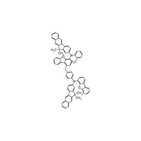 Cc1ccccc1N(c1ccc2c(c1)C(C)(C)c1cc3ccccc3cc1-2)c1ccc(Cc2ccc(N(c3ccc4c(c3)C(C)(C)c3cc5ccccc5cc3-4)c3cccc4c3oc3ccccc34)cc2)c2c1oc1ccccc12